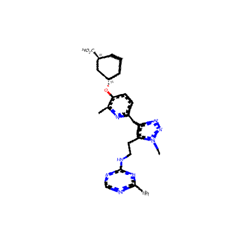 CCCc1ncnc(NCCc2c(-c3ccc(O[C@H]4CCC[C@H](C(=O)O)C4)c(C)n3)nnn2C)n1